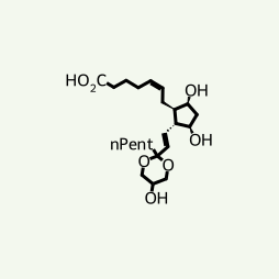 CCCCCC1(/C=C/[C@@H]2[C@@H](C/C=C\CCCC(=O)O)[C@@H](O)C[C@H]2O)OCC(O)CO1